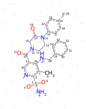 Cc1c(S(N)(=O)=O)ncc(C(=O)N2CCN(c3ccc(F)cc3)C(=O)C2)c1NCc1ccccc1